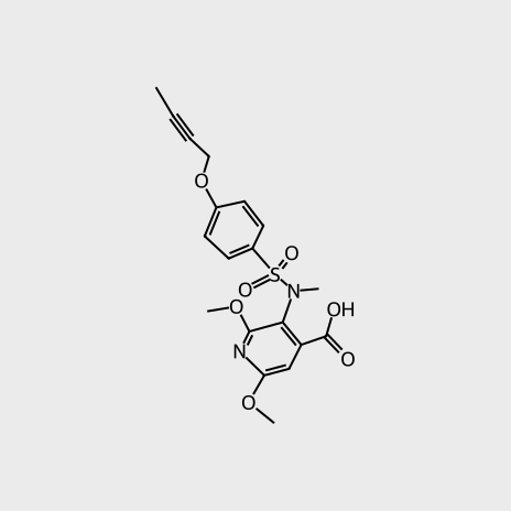 CC#CCOc1ccc(S(=O)(=O)N(C)c2c(C(=O)O)cc(OC)nc2OC)cc1